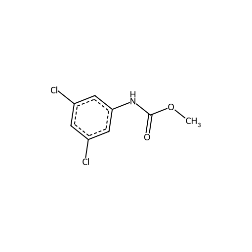 COC(=O)Nc1cc(Cl)cc(Cl)c1